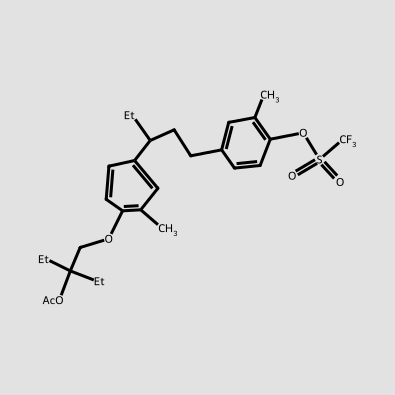 CCC(CCc1ccc(OS(=O)(=O)C(F)(F)F)c(C)c1)c1ccc(OCC(CC)(CC)OC(C)=O)c(C)c1